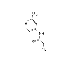 N#CCC(=S)Nc1cccc(C(F)(F)F)c1